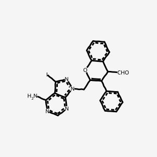 Nc1ncnc2c1c(I)nn2CC1=C(c2ccccc2)C(C=O)c2ccccc2O1